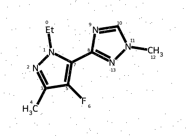 CCn1nc(C)c(F)c1-c1ncn(C)n1